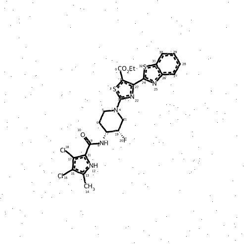 CCOC(=O)c1sc(N2CC[C@@H](NC(=O)c3[nH]c(C)c(Cl)c3Cl)[C@@H](F)C2)nc1-c1nc2ccccc2s1